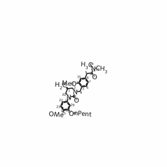 C=C1CN(Cc2ccc(CC(=O)N(C)C)cc2OC)C(=O)N(c2ccc(OC)c(OCCCCC)c2)C1